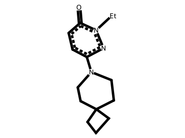 CCn1nc(N2CCC3(CCC3)CC2)ccc1=O